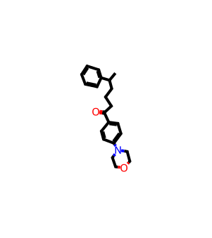 CC(CCCC(=O)c1ccc(N2CCOCC2)cc1)c1ccccc1